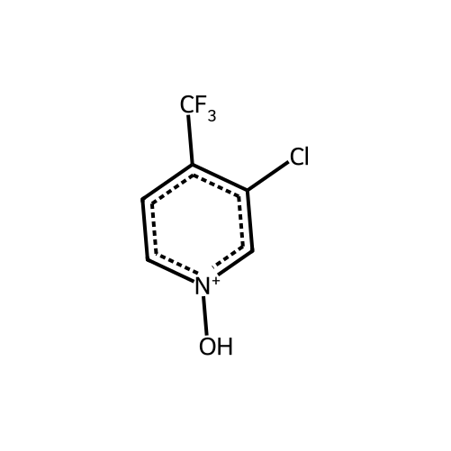 O[n+]1ccc(C(F)(F)F)c(Cl)c1